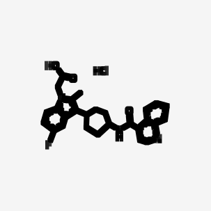 Cc1c(C2CCC(NC(=O)c3ccnc4ccccc34)CC2)c2cc(F)ccc2n1CC(=O)O.Cl